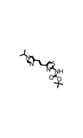 CC(C)n1cnc(C=Cc2csc(NC(=O)OC(C)(C)C)n2)c1